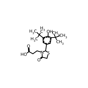 CC(C)(C)c1cc(C2SCC(=O)N2CCC(=O)O)cc(C(C)(C)C)c1O